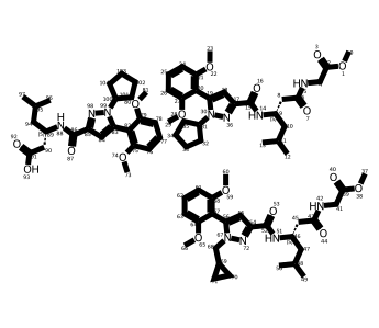 COC(=O)CNC(=O)C[C@H](CC(C)C)NC(=O)c1cc(-c2c(OC)cccc2OC)n(C2CCCC2)n1.COC(=O)CNC(=O)C[C@H](CC(C)C)NC(=O)c1cc(-c2c(OC)cccc2OC)n(CC2CC2)n1.COc1cccc(OC)c1-c1cc(C(=O)N[C@H](CC(=O)O)CC(C)C)nn1C1CCCC1